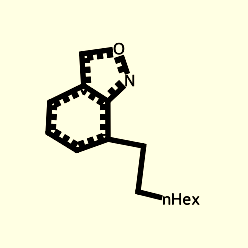 CCCCCCCCc1cccc2conc12